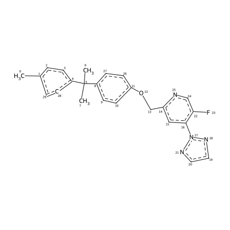 Cc1ccc(C(C)(C)c2ccc(OCc3cc(-n4nccn4)c(F)cn3)cc2)cc1